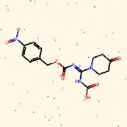 O=C1CCN(/C(=N/C(=O)OCc2ccc([N+](=O)[O-])cc2)NC(=O)O)CC1